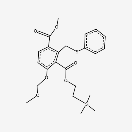 COCOc1ccc(C(=O)OC)c(CSc2ccccc2)c1C(=O)OCC[Si](C)(C)C